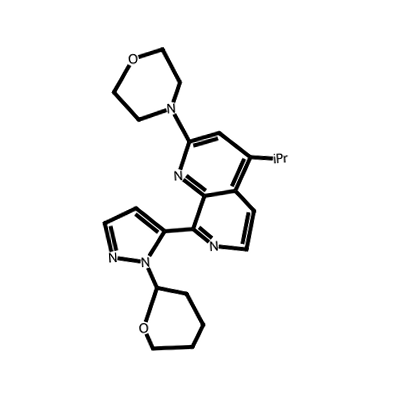 CC(C)c1cc(N2CCOCC2)nc2c(-c3ccnn3C3CCCCO3)nccc12